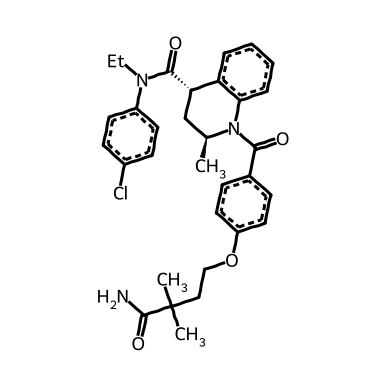 CCN(C(=O)[C@H]1C[C@H](C)N(C(=O)c2ccc(OCCC(C)(C)C(N)=O)cc2)c2ccccc21)c1ccc(Cl)cc1